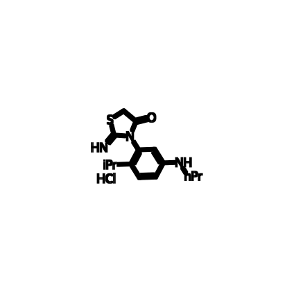 CCCNc1ccc(C(C)C)c(N2C(=N)SCC2=O)c1.Cl